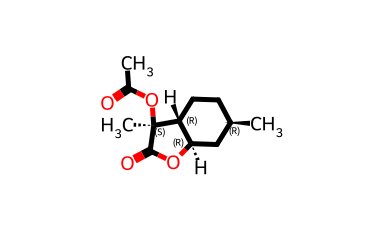 CC(=O)O[C@]1(C)C(=O)O[C@@H]2C[C@H](C)CC[C@H]21